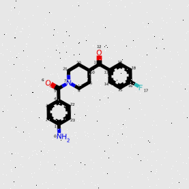 Nc1ccc(C(=O)N2CCC(C(=O)c3ccc(F)cc3)CC2)cc1